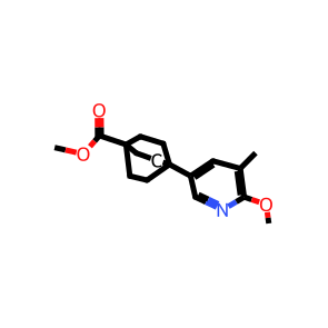 COC(=O)C12CCC(c3cnc(OC)c(C)c3)(CC1)CC2